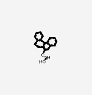 OBOc1cc2ccccc2c2c1ccc1ccccc12